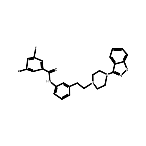 O=C(Nc1cccc(CCN2CCN(c3nsc4ccccc34)CC2)c1)c1cc(F)cc(F)c1